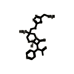 CC(=S)N(c1ccncc1)C1C(=O)N2CC(CSc3nnc(CS(=O)(=O)O)o3)(C(=O)O)CS[C@H]12